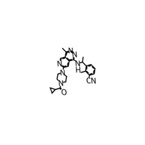 Cc1c(C#N)cccc1C(C)Nc1nnc(C)c2cnc(N3CCN(C(=O)C4CC4)CC3)cc12